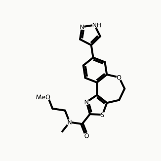 COCCN(C)C(=O)c1nc2c(s1)CCOc1cc(-c3cn[nH]c3)ccc1-2